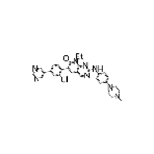 CCn1c(=O)c(-c2ccc(-c3cncnc3)cc2Cl)cc2cnc(Nc3ccc(N4CCN(C)CC4)cc3)nc21